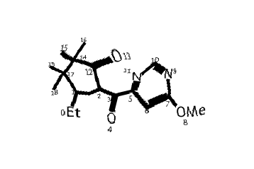 CCC1C(C(=O)c2cc(OC)ncn2)C(=O)C(C)(C)C1(C)C